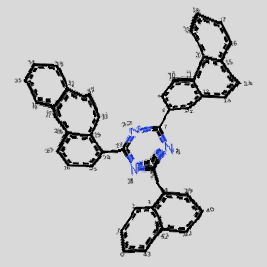 c1ccc2c(-c3nc(-c4ccc5c(ccc6ccccc65)c4)nc(-c4cccc5c4ccc4ccccc45)n3)cccc2c1